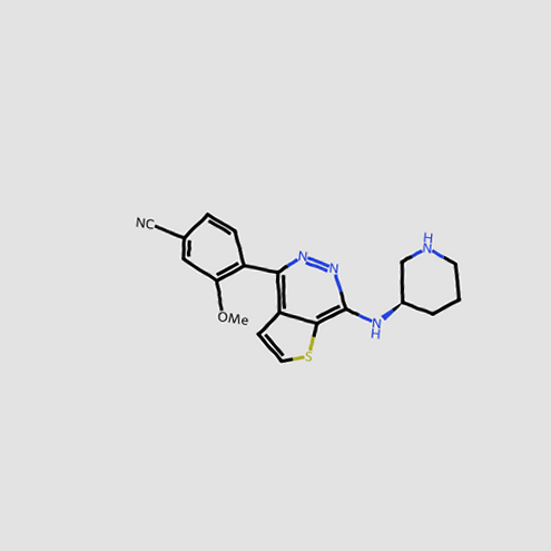 COc1cc(C#N)ccc1-c1nnc(N[C@@H]2CCCNC2)c2sccc12